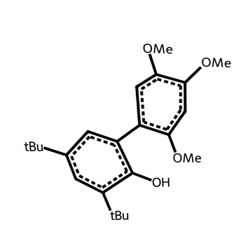 COc1cc(OC)c(-c2cc(C(C)(C)C)cc(C(C)(C)C)c2O)cc1OC